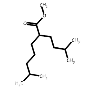 COC(=O)C(CCCC(C)C)CCC(C)C